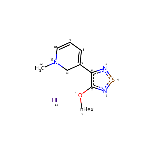 CCCCCCOc1nsnc1C1=CC=CN(C)C1.I